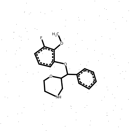 COc1c(F)cccc1OC(c1ccccc1)C1CNCCO1